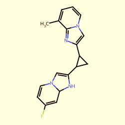 Cc1cccn2cc(C3CC3C3=CN4C=CC(F)=CC4N3)nc12